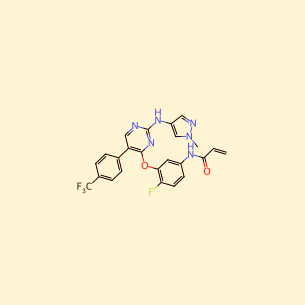 C=CC(=O)Nc1ccc(F)c(Oc2nc(Nc3cnn(C)c3)ncc2-c2ccc(C(F)(F)F)cc2)c1